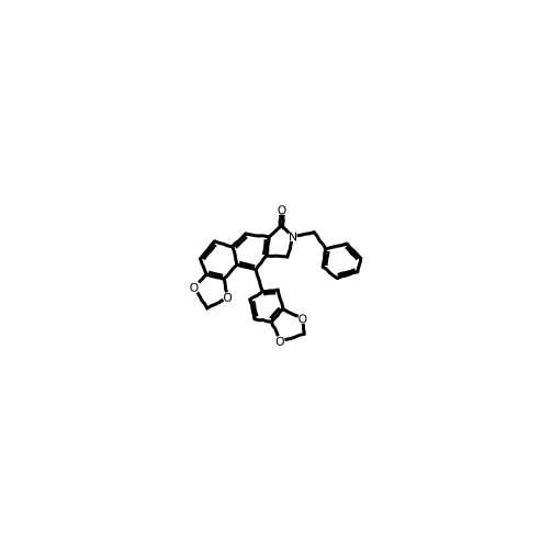 O=C1c2cc3ccc4c(c3c(-c3ccc5c(c3)OCO5)c2CN1Cc1ccccc1)OCO4